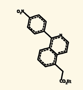 CCOC(=O)Cc1cccc2c(-c3ccc([N+](=O)[O-])cc3)nccc12